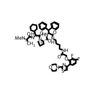 CN[C@@H](C)C(=O)N[C@H](C(=O)N1CCC[C@H]1C(=O)NC(C(=O)NCCCCNC(=O)COc1c(-c2csc(N3CCOCC3)n2)ccc(F)c1F)C(c1ccccc1)c1ccccc1)C1CCCCC1